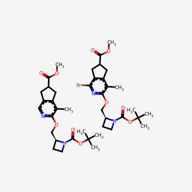 COC(=O)C1Cc2c(Br)nc(OC[C@@H]3CCN3C(=O)OC(C)(C)C)c(C)c2C1.COC(=O)C1Cc2cnc(OC[C@@H]3CCN3C(=O)OC(C)(C)C)c(C)c2C1